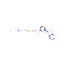 NCCOCCOCCNc1cccc(C(=O)NC2CCC(=O)NC2=O)n1